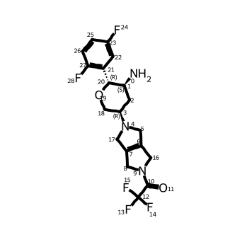 N[C@H]1C[C@@H](N2CC3=C(CN(C(=O)C(F)(F)F)C3)C2)CO[C@@H]1c1cc(F)ccc1F